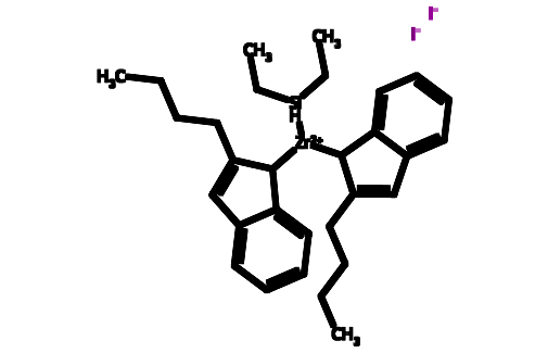 CCCCC1=Cc2ccccc2[CH]1[Zr+2]([CH]1C(CCCC)=Cc2ccccc21)[SiH](CC)CC.[I-].[I-]